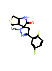 CC(=O)N1N=C(c2cc(F)ccc2F)CC12C(=O)NC1=C2CSC1